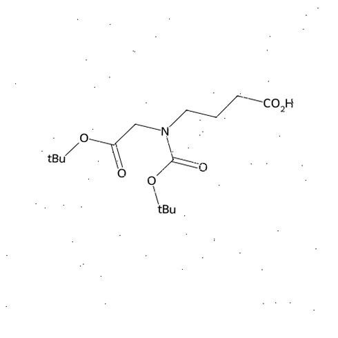 CC(C)(C)OC(=O)CN(CCCC(=O)O)C(=O)OC(C)(C)C